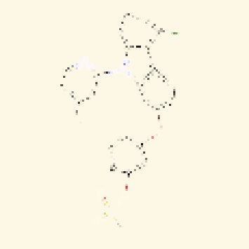 CC(C)(C)c1ccnc(-n2c3cc(Oc4cccc(OS(=O)(=O)C(F)(F)F)c4)ccc3c3c(Cl)cccc32)c1